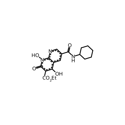 CCOC(=O)c1c(O)c2cc(C(=O)NC3CCCCC3)cnc2n(O)c1=O